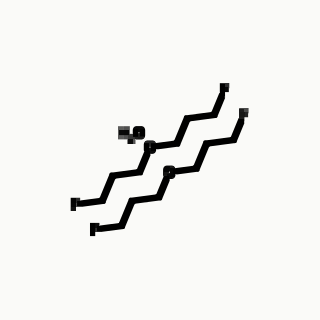 FCCCOCCCF.FCCCOCCCF.O